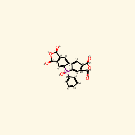 O=C1OC(=O)c2cc(P(=O)(c3ccccc3)c3ccc4c(c3)C(=O)OC4=O)ccc21